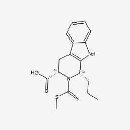 CCC[C@H]1c2[nH]c3ccccc3c2C[C@@H](C(=O)O)N1C(=S)SC